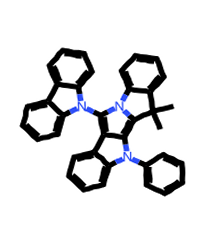 CC1(C)c2ccccc2-n2c(-n3c4ccccc4c4ccccc43)c3c4ccccc4n(-c4ccccc4)c3c21